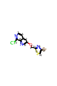 Clc1nccc2cc(OCc3nc(Br)cs3)cnc12